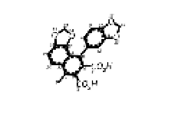 Cc1c(C(=O)O)c(C(=O)O)c(-c2ccc3c(c2)OCO3)c2c3c(ccc12)OCO3